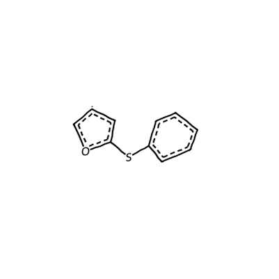 [c]1coc(Sc2ccccc2)c1